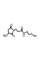 CC(C)SCCNC(=O)CCN1C(=O)CC(C(C)(C)C)C1=O